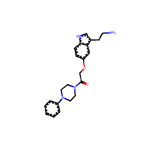 NCCc1c[nH]c2ccc(OCC(=O)N3CCN(c4cc[c]cc4)CC3)cc12